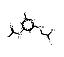 CC(=O)Nc1cc(C)nc(OCC(F)F)c1